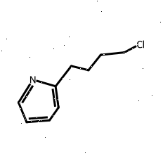 ClCCCCc1ccccn1